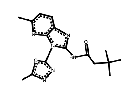 Cc1ccc2nc(NC(=O)CC(C)(C)C)n(-c3nnc(C)o3)c2n1